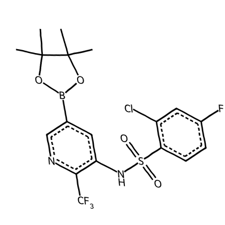 CC1(C)OB(c2cnc(C(F)(F)F)c(NS(=O)(=O)c3ccc(F)cc3Cl)c2)OC1(C)C